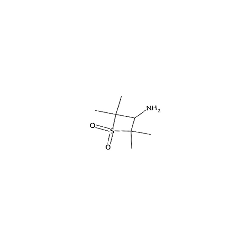 CC1(C)C(N)C(C)(C)S1(=O)=O